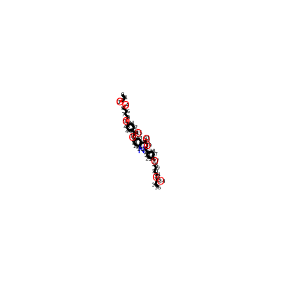 C=CC(=O)OCCCCOc1ccc(C(=O)Oc2ccc3nc(-c4ccc(OCCCCOC(=O)C=C)cc4)oc(=O)c3c2)cc1